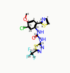 COc1cc(-c2nccs2)c(NC(=O)Nc2nnc(C(F)(F)F)s2)cc1Cl